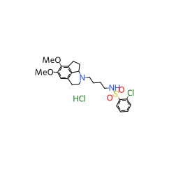 COc1cc2c3c(c1OC)CCC3N(CCCCNS(=O)(=O)c1ccccc1Cl)CC2.Cl